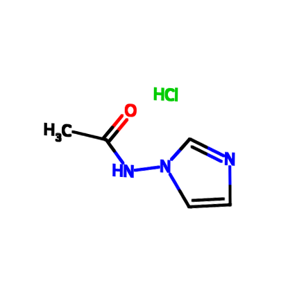 CC(=O)Nn1ccnc1.Cl